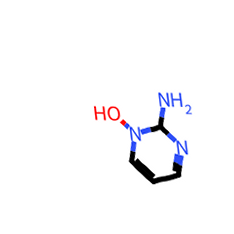 NC1N=CC=CN1O